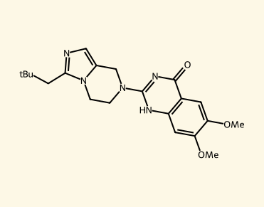 COc1cc2[nH]c(N3CCn4c(cnc4CC(C)(C)C)C3)nc(=O)c2cc1OC